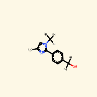 [2H]C([2H])(O)c1ccc(-c2nc(C(F)(F)F)cn2C([2H])([2H])[2H])cc1